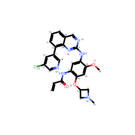 C=CC(=O)Nc1cc(Nc2ncc3cccc(-c4cncc(Cl)c4)c3n2)c(OC)cc1OC1CN(C)C1